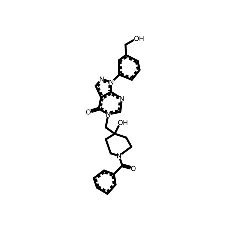 O=C(c1ccccc1)N1CCC(O)(Cn2cnc3c(cnn3-c3cccc(CO)c3)c2=O)CC1